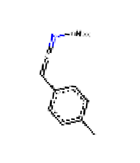 CCCCCCN=C=Cc1ccc(C)cc1